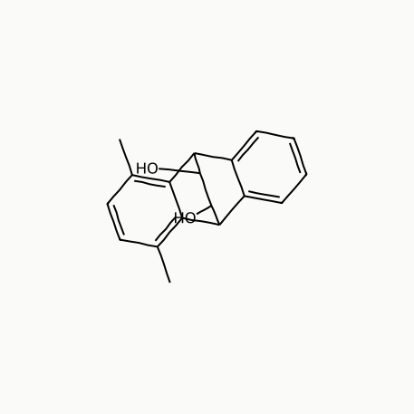 Cc1ccc(C)c2c1C1c3ccccc3C2C(O)C1O